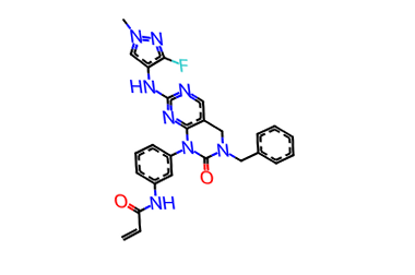 C=CC(=O)Nc1cccc(N2C(=O)N(Cc3ccccc3)Cc3cnc(Nc4cn(C)nc4F)nc32)c1